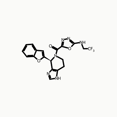 O=C(c1nnc(NCC(F)(F)F)o1)N1CCc2[nH]cnc2[C@H]1c1cc2ccccc2o1